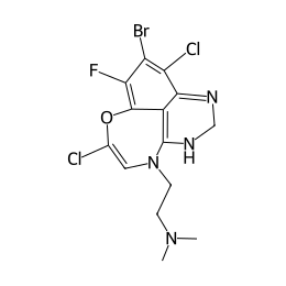 CN(C)CCN1C=C(Cl)Oc2c(F)c(Br)c(Cl)c3c2=C1NCN=3